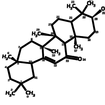 CC1(C)CC[C@]2(C)CC[C@]3(C)C(=CC(=O)C4[C@@]5(C)CC[C@H](O)C(C)(C)C5CC[C@]43C)C2C1